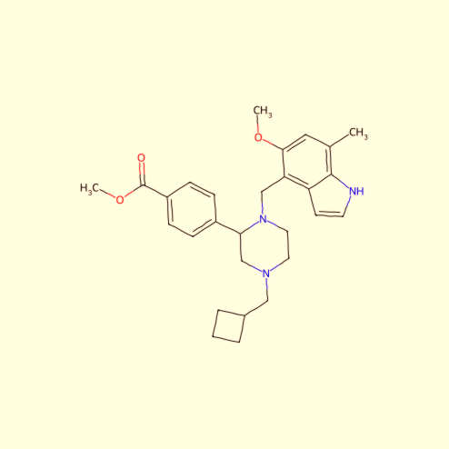 COC(=O)c1ccc(C2CN(CC3CCC3)CCN2Cc2c(OC)cc(C)c3[nH]ccc23)cc1